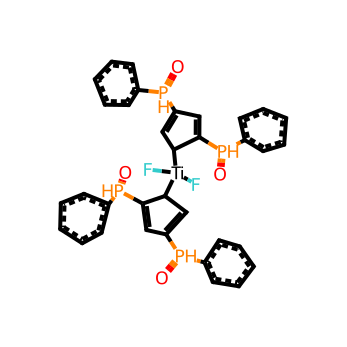 O=[PH](C1=C[CH]([Ti]([F])([F])[CH]2C=C([PH](=O)c3ccccc3)C=C2[PH](=O)c2ccccc2)C([PH](=O)c2ccccc2)=C1)c1ccccc1